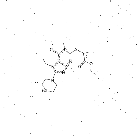 CCOC(=O)C(C)Sc1nc2nc(N3CCNCC3)n(CC)c2c(=O)n1C